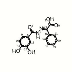 O=C(O)/C(=N/NC(=O)c1ccc(O)c(O)c1)c1ccccc1